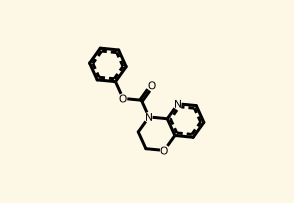 O=C(Oc1ccccc1)N1CCOc2cccnc21